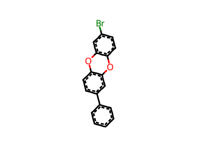 Brc1ccc2c(c1)Oc1ccc(-c3ccccc3)cc1O2